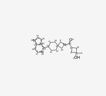 CC1(O)CC(C(=O)N2CC3(CCC(c4nccc5nccn45)CC3)C2)C1